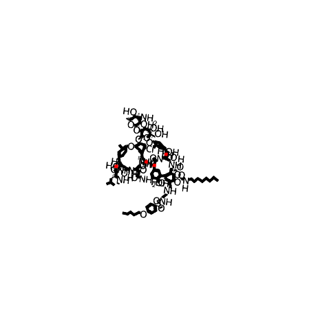 CCCCCCCCNC(=O)Oc1cc2c(c(O)c1CNCCNS(=O)(=O)c1ccc(OCCCCC)cc1)-c1cc(ccc1O)[C@H]1NC(=O)[C@@H]3NC(=O)[C@H](CC(N)=O)NC(=O)[C@H](NC(=O)[C@@H](CC(C)C)NC)[C@H](O)C4=CC(C)=C(CC4)Oc4cc3cc(c4O[C@@H]3O[C@H](CO)[C@@H](O)[C@H](O)[C@H]3O[C@H]3C[C@](C)(N)[C@H](O)[C@H](C)O3)Oc3ccc(cc3Cl)[C@@H](O)[C@H](NC1=O)C(=O)N[C@@H]2C(=O)O